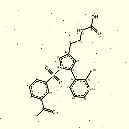 CC(=O)c1cccc(S(=O)(=O)n2cc(CCNC(=O)O)cc2-c2cccnc2F)c1